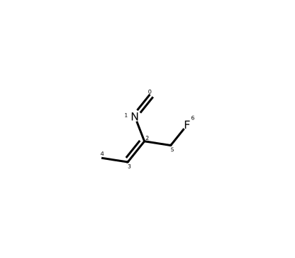 C=N/C(=C\C)CF